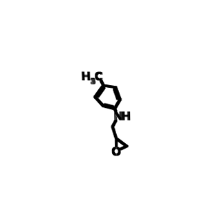 Cc1ccc(NCC2CO2)cc1